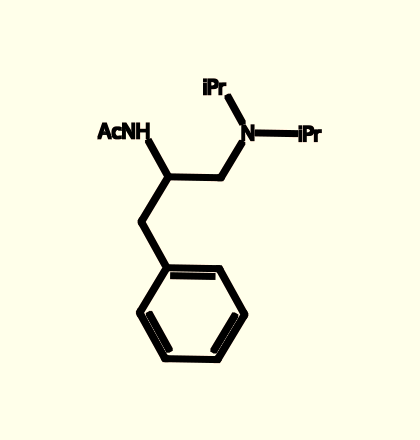 CC(=O)NC(Cc1ccccc1)CN(C(C)C)C(C)C